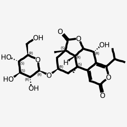 CC(C)c1oc(=O)cc2c1[C@@H](O)C1OC(=O)[C@@]3(C)C[C@H](O[C@@H]4O[C@H](CO)[C@@H](O)[C@H](O)[C@H]4O)C[C@@]2(C)[C@@H]13